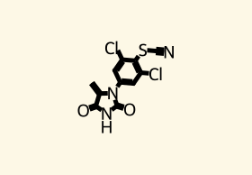 C=C1C(=O)NC(=O)N1c1cc(Cl)c(SC#N)c(Cl)c1